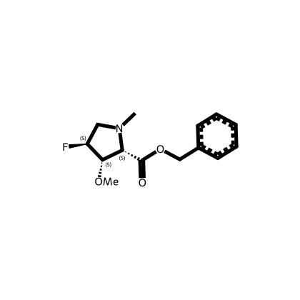 CO[C@H]1[C@@H](C(=O)OCc2ccccc2)N(C)C[C@@H]1F